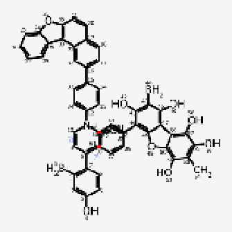 Bc1cc(O)ccc1C(/C=C\N(c1ccc(-c2ccc3ccc4oc5ccccc5c4c3c2)cc1)c1cccc(-c2c(O)c(B)c(O)c3c2oc2c(O)c(C)c(O)c(O)c23)c1)=C/C=C